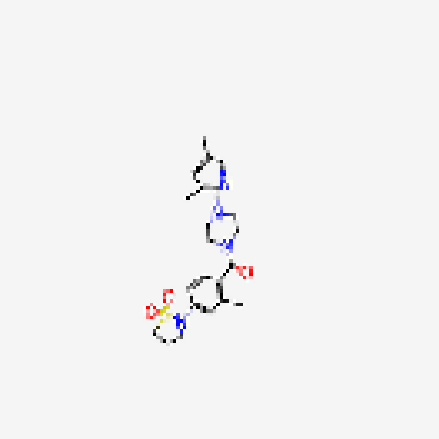 Cc1cnc(N2CCN(C(=O)c3ccc(N4CCCS4(=O)=O)cc3C)CC2)c(C)c1